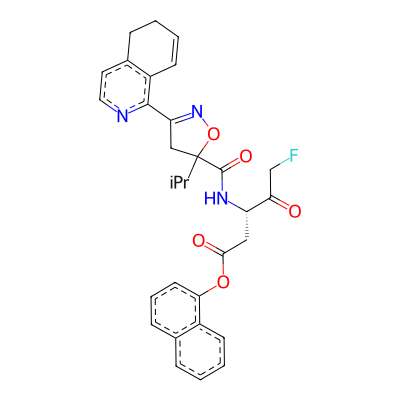 CC(C)C1(C(=O)N[C@@H](CC(=O)Oc2cccc3ccccc23)C(=O)CF)CC(c2nccc3c2C=CCC3)=NO1